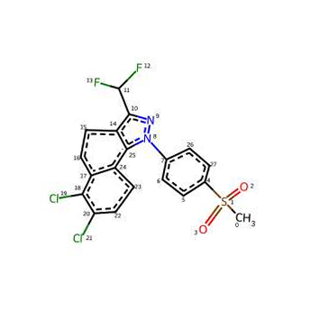 CS(=O)(=O)c1ccc(-n2nc(C(F)F)c3ccc4c(Cl)c(Cl)ccc4c32)cc1